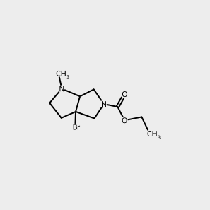 CCOC(=O)N1CC2N(C)CCC2(Br)C1